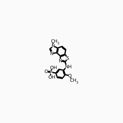 COc1ccc(P(=O)(O)O)cc1Nc1nc2c(ccc3c2ncn3C)s1